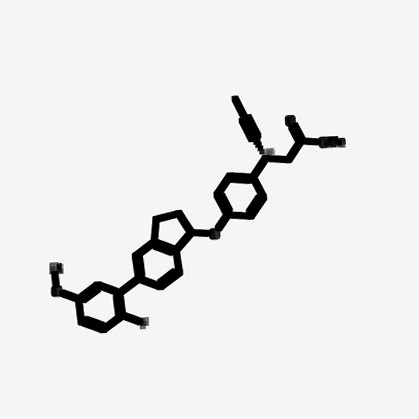 CC#C[C@H](CC(=O)OC)c1ccc(OC2CCc3cc(-c4cc(OCC)ccc4F)ccc32)cc1